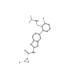 CC(C)NCc1c(F)cccc1-c1ccc2nc(NC(=O)[C@@H]3C[C@@H]3F)cn2c1